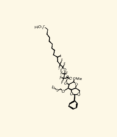 CCOCOC1C2OC(c3ccccc3)OCC2OC(OC)C1OS(=O)(=O)C(F)(F)C(F)(F)OC(F)(F)C(F)(F)CC(I)CCCCCCCCC(=O)O